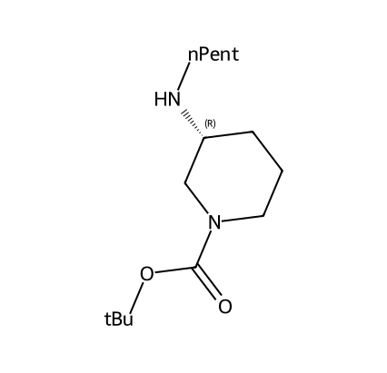 CCCCCN[C@@H]1CCCN(C(=O)OC(C)(C)C)C1